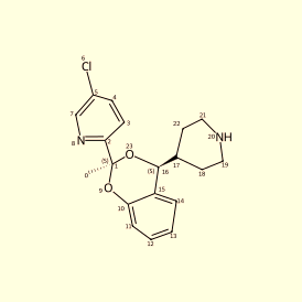 C[C@@]1(c2ccc(Cl)cn2)Oc2ccccc2[C@H](C2CCNCC2)O1